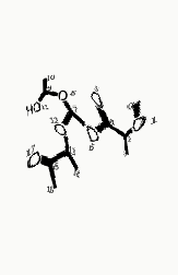 COC(C)C(=O)OC(OC(C)O)OC(C)C(C)=O